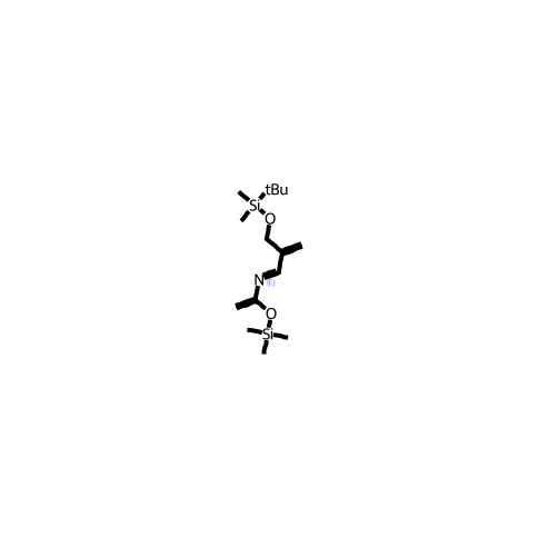 C=C(/C=N/C(=C)O[Si](C)(C)C)CO[Si](C)(C)C(C)(C)C